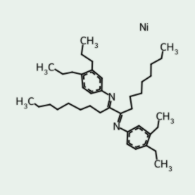 CCCCCCCCC(=Nc1ccc(CC)c(CC)c1)C(CCCCCCCC)=Nc1ccc(CCC)c(CCC)c1.[Ni]